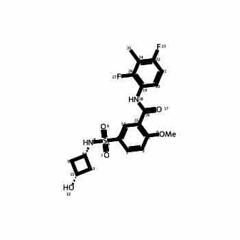 COc1ccc(S(=O)(=O)N[C@H]2C[C@@H](O)C2)cc1C(=O)Nc1ccc(F)c(C)c1F